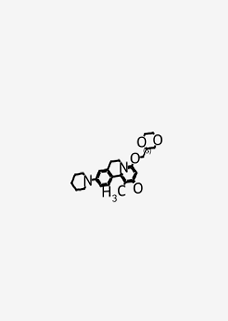 Cc1c2n(c(OC[C@@H]3COCCO3)cc1=O)CCc1cc(N3CCCCC3)ccc1-2